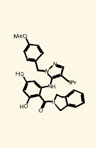 COc1ccc(Cn2ncc(C(C)C)c2Nc2cc(O)cc(O)c2C(=O)N2Cc3ccccc3C2)cc1